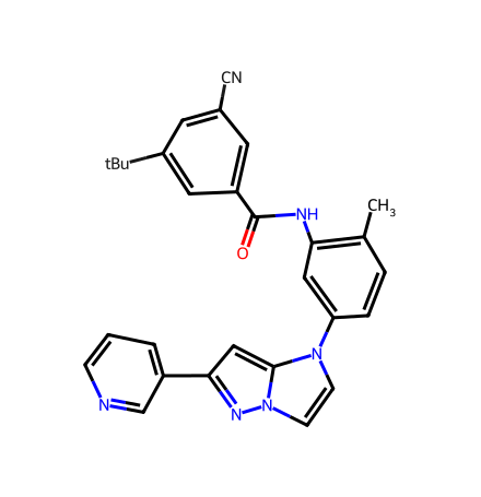 Cc1ccc(-n2ccn3nc(-c4cccnc4)cc23)cc1NC(=O)c1cc(C#N)cc(C(C)(C)C)c1